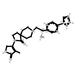 CC1=C(N2CCC3(CCN(C[C@@H](O)c4cnc(-n5cnnn5)cn4)CC3)C2=O)COC1=O